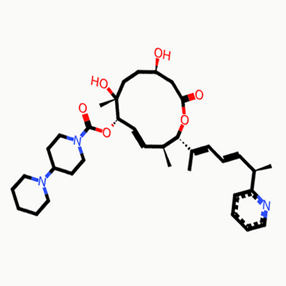 C/C(=C\C=C\[C@@H](C)c1ccccn1)[C@H]1OC(=O)C[C@H](O)CC[C@@](C)(O)[C@@H](OC(=O)N2CCC(N3CCCCC3)CC2)/C=C/[C@@H]1C